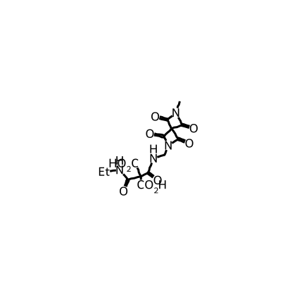 CCNC(=O)C(C(=O)O)(C(=O)O)C(=O)NCN1C(=O)C2(C(=O)N(C)C2=O)C1=O